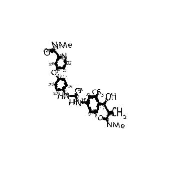 C=C(C(=O)NC)C(O)c1ccc(NC(=O)Nc2ccc(Oc3ccnc(C(=O)NC)c3)cc2)cc1C(F)(F)F